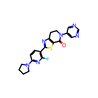 O=C1c2sc(-c3ccc(N4CCCC4)nc3F)nc2CCN1c1cncnc1